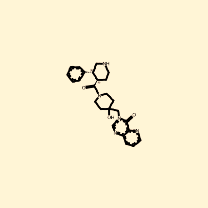 O=C([C@@H]1CCNC[C@H]1c1ccccc1)N1CCC(O)(Cn2cnc3cccnc3c2=O)CC1